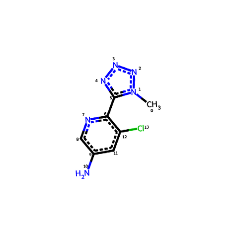 Cn1nnnc1-c1ncc(N)cc1Cl